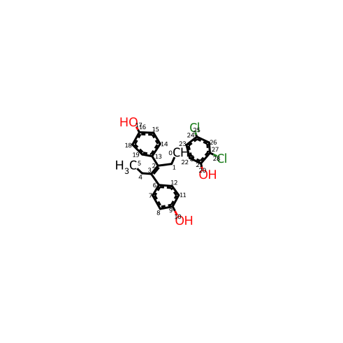 CC/C(=C(/CC)c1ccc(O)cc1)c1ccc(O)cc1.Oc1ccc(Cl)cc1Cl